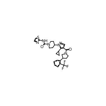 O=C(Nc1nccs1)N1CCC(n2ncc(C(=O)N3CCC(c4ccccc4C(F)(F)F)C3)c2C2CC2)CC1